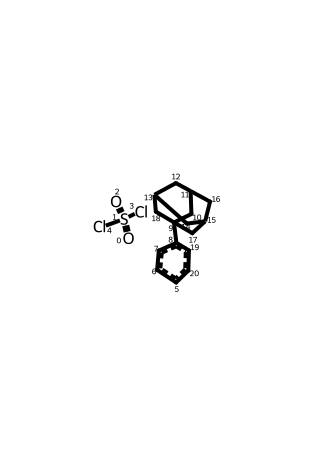 O=S(=O)(Cl)Cl.c1ccc(C23CC4CC(CC(C4)C2)C3)cc1